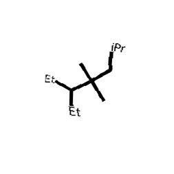 [CH2]C(C)CC(C)(C)C(CC)CC